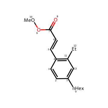 CCCCCCc1ccc(C=CC(=O)OOC)c(CC)c1